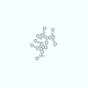 O=C(OCc1ccccc1)c1ccc2c(c1)Oc1c(C(=O)OCc3ccccc3)cc(C(=O)OCc3ccccc3)c3c1B2c1cccc(-c2ccc(C4c5cc(C(=O)OCc6ccccc6)c(C(=O)OCc6ccccc6)cc5-c5cc(C(=O)OCc6ccccc6)c(C(=O)OCc6ccccc6)cc54)cc2)c1O3